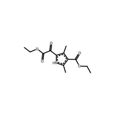 CCOC(=O)C(=O)c1[nH]c(C)c(C(=O)OCC)c1C